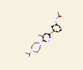 CC(=O)Nc1cccc(-c2cc(C)c(N3CCN(C(C)C)CC3)nn2)c1